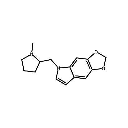 CN1CCCC1Cn1ccc2cc3c(cc21)OCO3